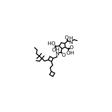 CCCC(C)(C)C(C)(CC)CC1CC(CNC(=O)C2C(C(=O)O)CC(C(=O)NCC)C2C(=O)O)C1CCC1CCC1